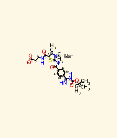 CC1C(C(=O)NCCC(=O)[O-])SC(=NC(=O)c2ccc(C(=N)NC(=O)OC(C)(C)C)cc2)N1C.[Na+]